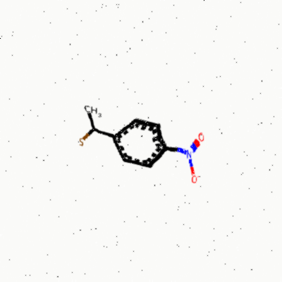 CC([S])c1ccc([N+](=O)[O-])cc1